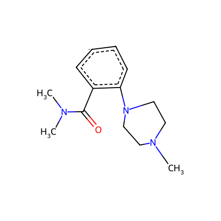 CN1CCN(c2cc[c]cc2C(=O)N(C)C)CC1